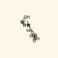 O=C1CCC(N2C(=O)c3ccc(NC[C@H]4C[C@H](n5cc(-c6cc7c(cn6)cnn7[C@H]6CC[C@H](O)CC6)c(C6CC6)n5)C4)cc3C2=O)C(=O)N1